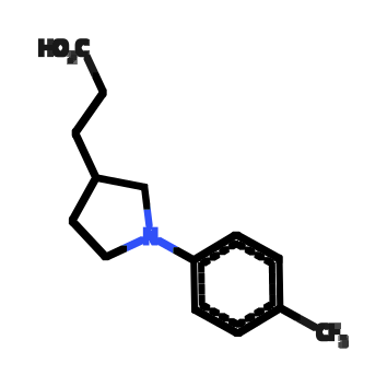 O=C(O)CCC1CCN(c2ccc(C(F)(F)F)cc2)C1